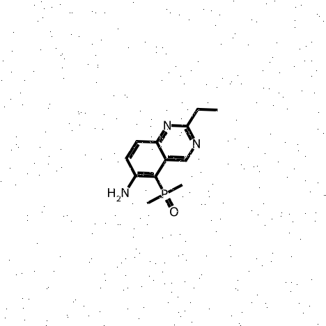 CCc1ncc2c(P(C)(C)=O)c(N)ccc2n1